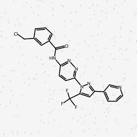 O=C(Nc1ccc(-n2nc(-c3cccnc3)cc2C(F)(F)F)nn1)c1cccc(CCl)c1